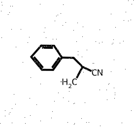 [CH2]C(C#N)Cc1ccccc1